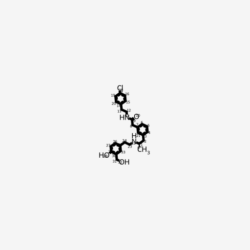 C[C@H](Cc1cccc(CC(=O)NCCc2ccc(Cl)cc2)c1)NCCc1ccc(O)c(CO)c1